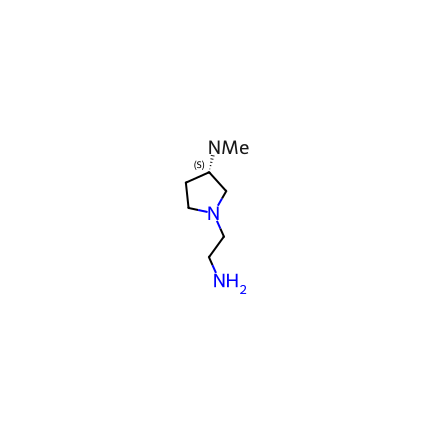 CN[C@H]1CCN(CCN)C1